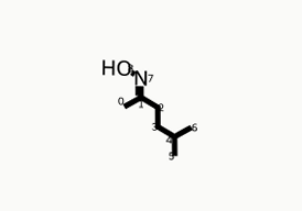 C/C(CCC(C)C)=N\O